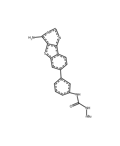 CCCCNC(=O)Nc1cccc(-c2ccc3c(c2)sc2c(N)ncnc23)c1